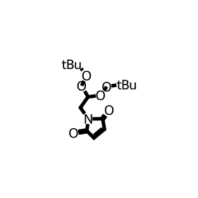 CC(C)(C)OOC(CN1C(=O)C=CC1=O)OOC(C)(C)C